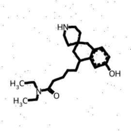 CCN(CC)C(=O)CCCCC1CC2(CCNCC2)Cc2ccc(O)cc21